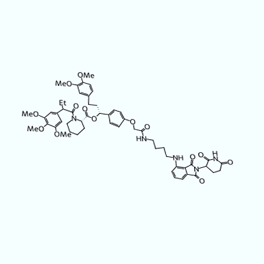 CCC(C(=O)N1CCCC[C@H]1C(=O)O[C@H](CCc1ccc(OC)c(OC)c1)c1ccc(OCC(=O)NCCCCNc2cccc3c2C(=O)N(C2CCC(=O)NC2=O)C3=O)cc1)c1cc(OC)c(OC)c(OC)c1